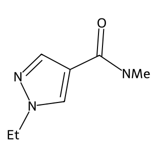 [CH2]Cn1cc(C(=O)NC)cn1